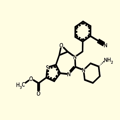 COC(=O)c1cc2c(s1)C1OC1N(Cc1ccccc1C#N)C(N1CCC[C@@H](N)C1)=N2